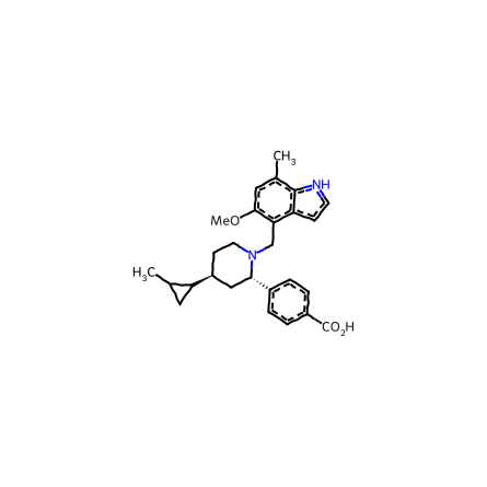 COc1cc(C)c2[nH]ccc2c1CN1CC[C@H](C2CC2C)C[C@H]1c1ccc(C(=O)O)cc1